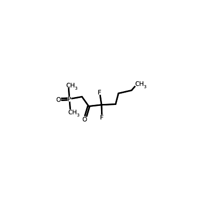 CCCCC(F)(F)C(=O)CP(C)(C)=O